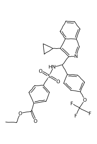 CCOC(=O)c1ccc(S(=O)(=O)NC(c2ccc(OC(F)(F)F)cc2)c2ncc3ccccc3c2C2CC2)cc1